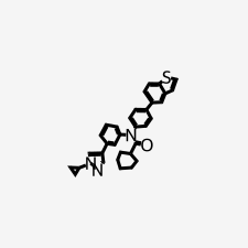 O=C(C1CCCCC1)N(c1ccc(-c2ccc3sccc3c2)cc1)c1cccc(-c2cnn(C3CC3)c2)c1